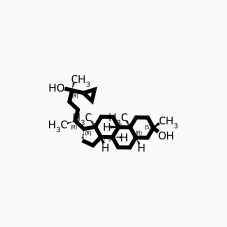 C[C@H](CC[C@@](C)(O)C1CC1)[C@H]1CC[C@H]2[C@@H]3CC[C@@H]4C[C@@](C)(O)CC[C@]4(C)[C@H]3CC[C@]12C